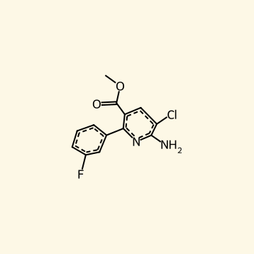 COC(=O)c1cc(Cl)c(N)nc1-c1cccc(F)c1